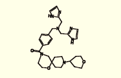 O=C(c1ccc(CN(Cc2ncc[nH]2)Cc2ncc[nH]2)cc1)N1CCOC2(CCN(C3CCOCC3)CC2)C1